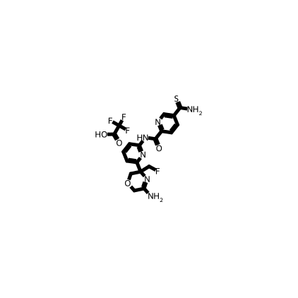 NC(=S)c1ccc(C(=O)Nc2cccc(C3(CF)COCC(N)=N3)n2)nc1.O=C(O)C(F)(F)F